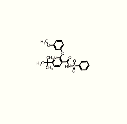 COc1cccc(Oc2nc(C(C)(C)C)ccc2C(=O)NS(=O)(=O)c2ccccc2)c1